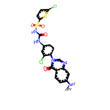 CCCNc1ccc2c(=O)n(-c3ccc(NC(=O)NS(=O)(=O)c4ccc(Cl)s4)cc3Cl)cnc2c1